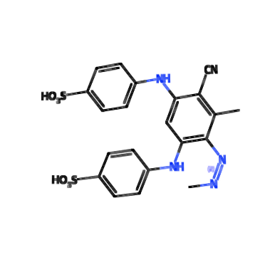 C/N=N\c1c(Nc2ccc(S(=O)(=O)O)cc2)cc(Nc2ccc(S(=O)(=O)O)cc2)c(C#N)c1C